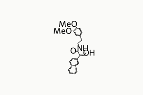 COc1ccc(CCNC(=O)C(=CO)c2ccc3ccccc3c2)cc1OC